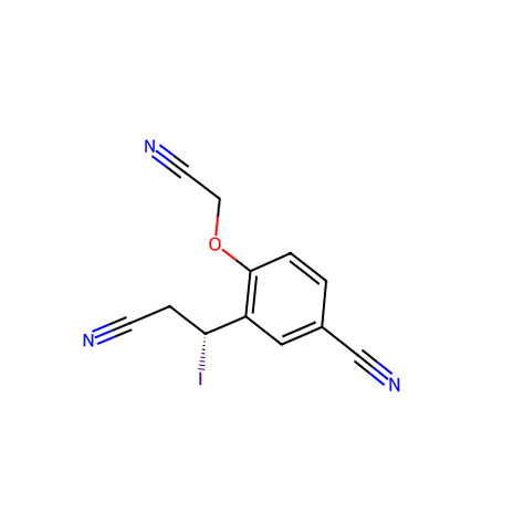 N#CCOc1ccc(C#N)cc1[C@H](I)CC#N